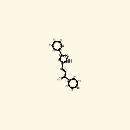 O=C(/C=C/c1cc(-c2ccccc2)n[nH]1)c1ccccc1